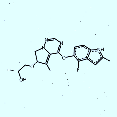 CC1=C2C(Oc3ccc4[nH]c(C)cc4c3F)=NC=NN2CC1OC[C@@H](C)O